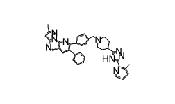 Cc1cc2ncc3cc(-c4ccccc4)c(-c4ccc(CN5CCC(c6nnc(-c7ncccc7C)[nH]6)CC5)cc4)nc3n2n1